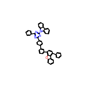 c1ccc(-c2nc(-c3ccc(-c4cccc(-c5ccc(-c6ccccc6)c6c5oc5ccccc56)c4)cc3)nc(-n3c4ccccc4c4ccccc43)n2)cc1